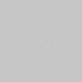 CC(C)COCc1nc(Nc2ccc(C(F)F)cc2)c2ccc(-c3ncccc3C(F)(F)F)nc2n1